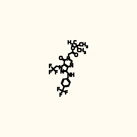 CC(C)(C)OC(=O)Cn1cnc2c(Nc3ccc(C(F)(F)F)cc3)nn(CC(F)(F)F)c2c1=O